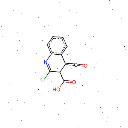 O=C=C1c2ccccc2N=C(Cl)C1C(=O)O